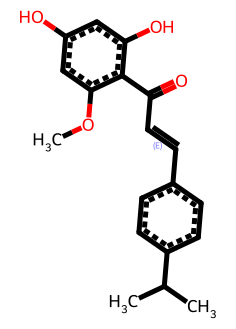 COc1cc(O)cc(O)c1C(=O)/C=C/c1ccc(C(C)C)cc1